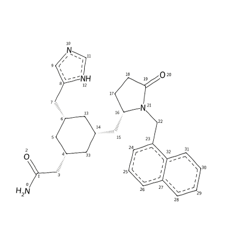 NC(=O)C[C@@H]1C[C@H](Cc2cnc[nH]2)C[C@H](C[C@@H]2CCC(=O)N2Cc2cccc3ccccc23)C1